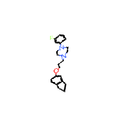 Fc1cccc(N2CCN(CCCOc3ccc4c(c3)CCC4)CC2)c1